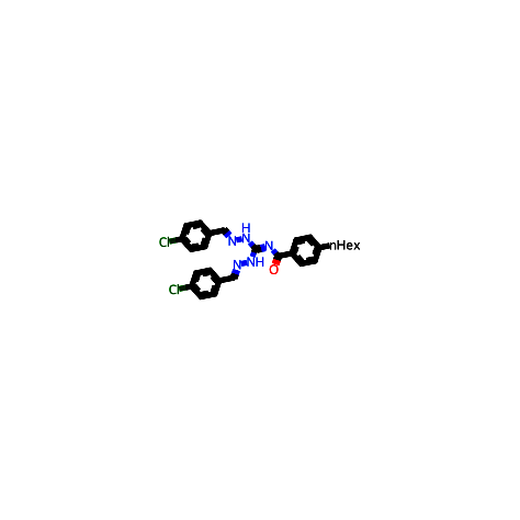 CCCCCCc1ccc(C(=O)N=C(NN=Cc2ccc(Cl)cc2)NN=Cc2ccc(Cl)cc2)cc1